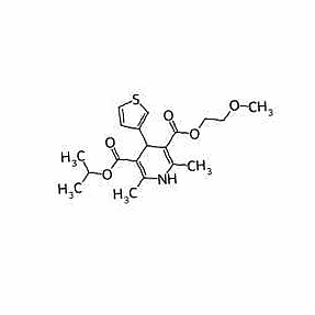 COCCOC(=O)C1=C(C)NC(C)=C(C(=O)OC(C)C)C1c1ccsc1